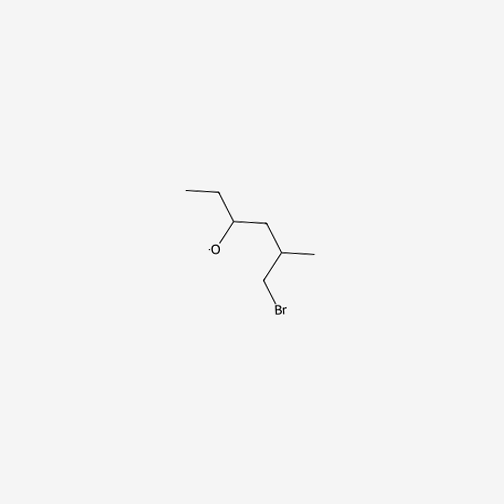 CCC([O])CC(C)CBr